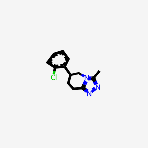 Cc1nnc2n1CC(c1ccccc1Cl)CC2